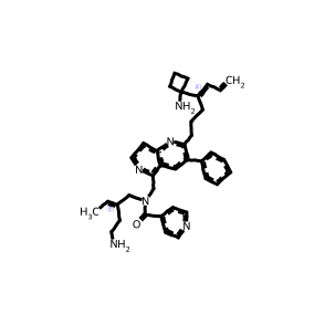 C=C/C=C(\CCCc1nc2ccnc(CN(C/C(=C/C)CCN)C(=O)c3ccncc3)c2cc1-c1ccccc1)C1(N)CCC1